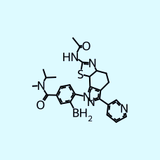 Bc1cc(C(=O)N(C)C(C)C)ccc1-n1nc(-c2cccnc2)c2c1C1SC(NC(C)=O)=NC1CC2